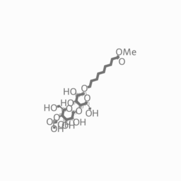 COC(=O)CCCCCCCCO[C@@H]1O[C@H](CO)[C@@H](O[C@@H]2O[C@H](CO)[C@H](OP(=O)(O)O)[C@H](O)[C@H]2O)[C@H](O)[C@H]1O